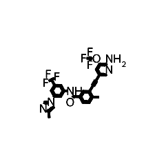 Cc1cn(-c2cc(NC(=O)c3ccc(C)c(C#Cc4cnc(N)c(OC(F)(F)F)c4)c3)cc(C(F)(F)F)c2)cn1